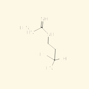 CC(C)(N)CCNC(=N)NN